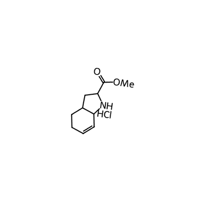 COC(=O)C1CC2CCC=CC2N1.Cl